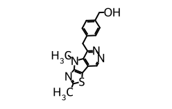 Cc1nc2c(s1)c1cnnc(Cc3ccc(CO)cc3)c1n2C